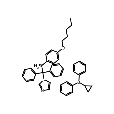 CCCCCOc1ccc([SiH2]C(c2ccccc2)(c2ccccc2)n2ccnc2)cc1.c1ccc(B(c2ccccc2)C2CC2)cc1